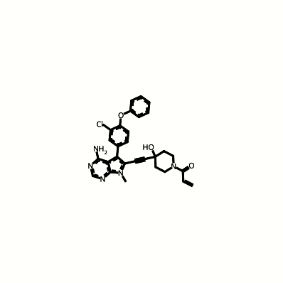 C=CC(=O)N1CCC(O)(C#Cc2c(-c3ccc(Oc4ccccc4)c(Cl)c3)c3c(N)ncnc3n2C)CC1